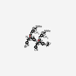 CNCC(=O)Oc1c(C)cc(C[n+]2cnn(C[C@](O)(c3ccc(F)cc3F)[C@@H](C)c3nc(-c4ccc(C#N)cc4)cs3)c2)cc1C.CNCC(=O)Oc1c(C)cc(C[n+]2cnn(C[C@](O)(c3ccc(F)cc3F)[C@@H](C)c3nc(-c4ccc(C#N)cc4)cs3)c2)cc1C.O=C([O-])C(F)(F)F.[Br-]